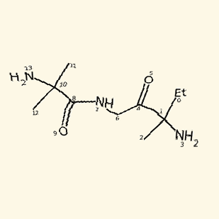 CCC(C)(N)C(=O)CNC(=O)C(C)(C)N